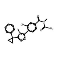 CN(C(N)=O)C(=O)c1ccc(-c2nnc(C3(c4ccccc4)CC3)n2C)c(Cl)c1